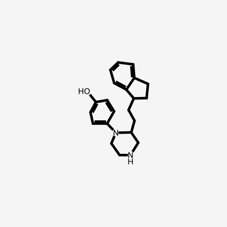 Oc1ccc(N2CCNCC2CCC2CCc3ccccc32)cc1